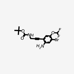 CC(C)(C)OC(=O)NCC#Cc1cc(OC(F)F)c(Br)cc1N